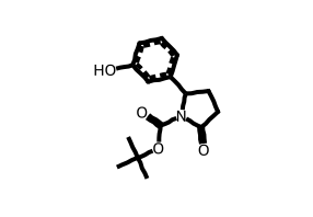 CC(C)(C)OC(=O)N1C(=O)CCC1c1cccc(O)c1